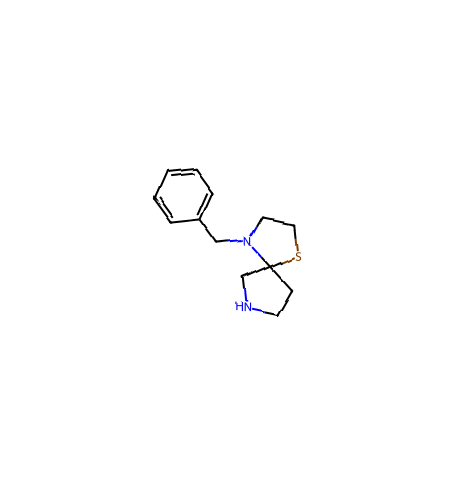 c1ccc(CN2CCSC23CCNC3)cc1